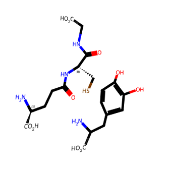 NC(Cc1ccc(O)c(O)c1)C(=O)O.N[C@@H](CCC(=O)N[C@@H](CS)C(=O)NCC(=O)O)C(=O)O